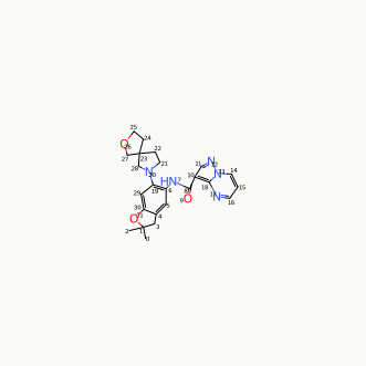 CC1(C)Cc2cc(NC(=O)c3cnn4cccnc34)c(N3CCC4(CCOC4)C3)cc2O1